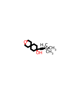 C[Si](C)(C)C#CC1(O)CCC2(CCOCC2)CC1